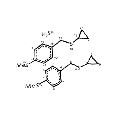 CSc1ccc(CSC2CC2)cc1.CSc1ccc(CSC2CC2)cc1.S